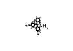 NC1c2ccccc2C1(c1ccc(Br)cc1)c1ccc(Br)cc1